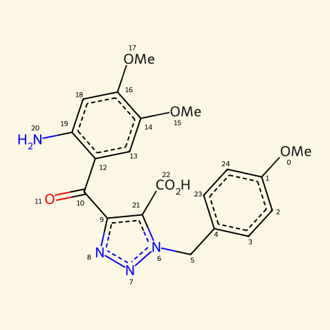 COc1ccc(Cn2nnc(C(=O)c3cc(OC)c(OC)cc3N)c2C(=O)O)cc1